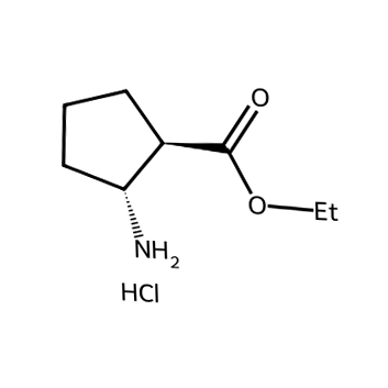 CCOC(=O)[C@@H]1CCC[C@H]1N.Cl